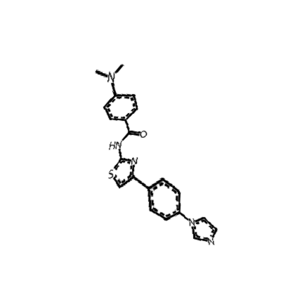 CN(C)c1ccc(C(=O)Nc2nc(-c3ccc(-n4ccnc4)cc3)cs2)cc1